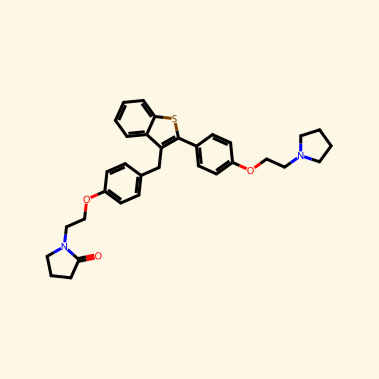 O=C1CCCN1CCOc1ccc(Cc2c(-c3ccc(OCCN4CCCC4)cc3)sc3ccccc23)cc1